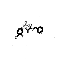 CC(NP(=O)(Cl)Oc1ccc(Cl)c(F)c1)C(=O)OCc1ccccc1